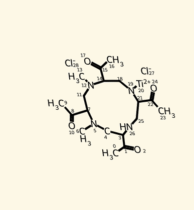 CC(=O)C1CN(C)C(C(C)=O)CN(C)C(C(C)=O)C[N]([Ti+2])C(C(C)=O)CN1.[Cl-].[Cl-]